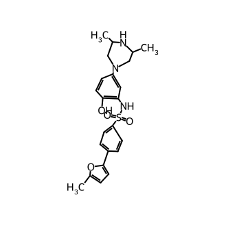 Cc1ccc(-c2ccc(S(=O)(=O)Nc3cc(N4CC(C)NC(C)C4)ccc3O)cc2)o1